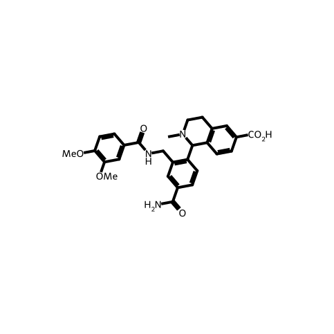 COc1ccc(C(=O)NCc2cc(C(N)=O)ccc2C2c3ccc(C(=O)O)cc3CCN2C)cc1OC